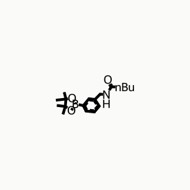 CCCCC(=O)NCc1cccc(B2OC(C)(C)C(C)(C)O2)c1